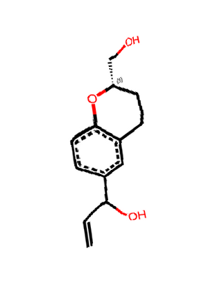 C=CC(O)c1ccc2c(c1)CC[C@@H](CO)O2